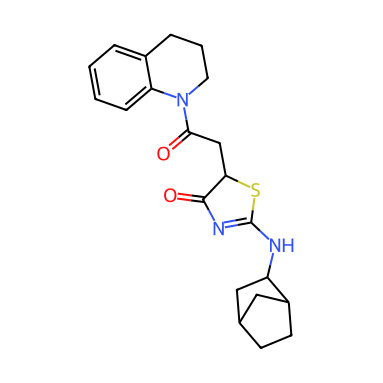 O=C1N=C(NC2CC3CCC2C3)SC1CC(=O)N1CCCc2ccccc21